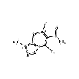 Cn1ncc2c(F)c(C(N)=O)c(F)cc21